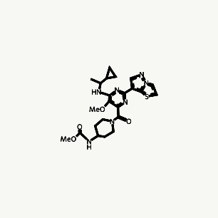 COC(=O)NC1CCN(C(=O)c2nc(-c3cnn4ccsc34)nc(NC(C)C3CC3)c2OC)CC1